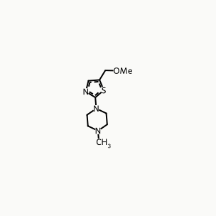 COCc1cnc(N2CCN(C)CC2)s1